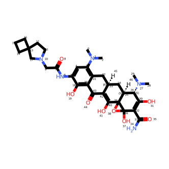 CN(C)c1cc(NC(=O)CN2CCC3(CCC3)C2)c(O)c2c1C[C@H]1C[C@H]3[C@H](N(C)C)C(O)=C(C(N)=O)C4(O)OC34C(O)=C1C2=O